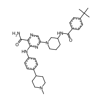 CN1CCC(c2ccc(Nc3nc(N4CCCC(NC(=O)c5ccc(C(C)(C)C)cc5)C4)cnc3C(N)=O)cc2)CC1